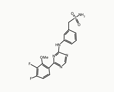 COc1c(-c2ncnc(Nc3cccc(CS(N)(=O)=O)c3)n2)ccc(F)c1F